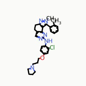 Cc1ccccc1-c1c2c(nn1C)CCc1cnc(Nc3ccc(OCCCN4CCCC4)cc3Cl)nc1-2